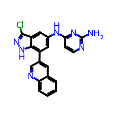 Nc1nccc(Nc2cc(-c3cnc4ccccc4c3)c3[nH]nc(Cl)c3c2)n1